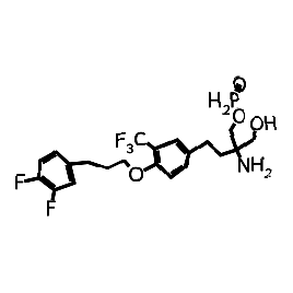 NC(CO)(CCc1ccc(OCCCc2ccc(F)c(F)c2)c(C(F)(F)F)c1)CO[PH2]=O